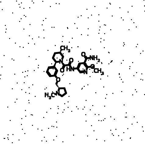 COc1ncc(NC(=O)C(=O)N2C[C@@H](C)CC[C@@H]2c2cccc(OC[C@@H]3CCCN3C)c2)cc1C(N)=O